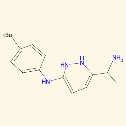 CC(N)C1=CC=C(Nc2ccc(C(C)(C)C)cc2)NN1